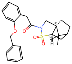 CC1(C)C2CC[C@]13CN(C(=O)Cc1ccccc1OCc1ccccc1)S(=O)(=O)[C@H]3C2